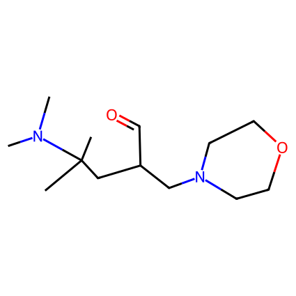 CN(C)C(C)(C)CC(C=O)CN1CCOCC1